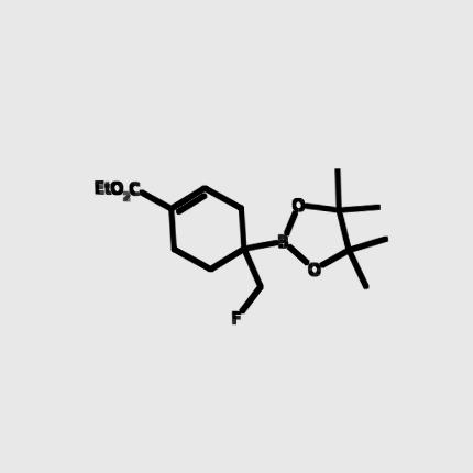 CCOC(=O)C1=CCC(CF)(B2OC(C)(C)C(C)(C)O2)CC1